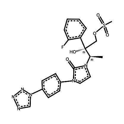 C[C@@H](n1ccn(-c2ccc(-n3cnnn3)cc2)c1=O)[C@](O)(COS(C)(=O)=O)c1ccccc1F